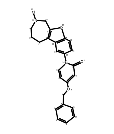 O=c1cc(OCc2ccccc2)ccn1-c1ccc2oc3c(c2c1)CCCN(Cl)C3